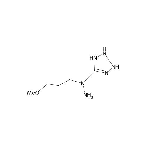 COCCCN(N)C1=NNNN1